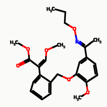 CCCON=C(C)c1ccc(OC)c(OCc2ccccc2C(=COC)C(=O)OC)c1